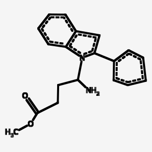 COC(=O)CCC(N)n1c(-c2ccccc2)cc2ccccc21